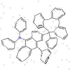 c1ccc(-c2c3ccccc3c(N(c3ccccc3)c3ccccc3)c3ccc(C4(c5ccccc5)c5ccccc5-c5ccccc5-c5ccccc54)cc23)cc1